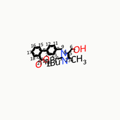 CCCc1nc(C)c(CO)n1Cc1ccc(-c2ccccc2C(=O)OC(C)(C)C)cc1